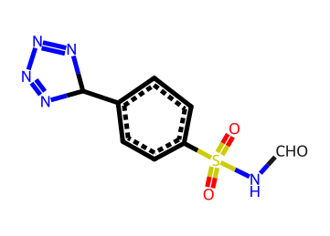 O=CNS(=O)(=O)c1ccc(C2N=NN=N2)cc1